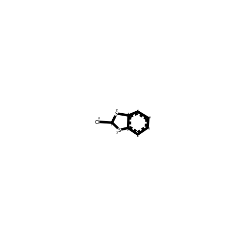 ClC1Sc2ccccc2S1